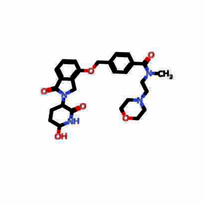 CN(CCN1CCOCC1)C(=O)c1ccc(COc2cccc3c2CN(C2CCC(O)NC2=O)C3=O)cc1